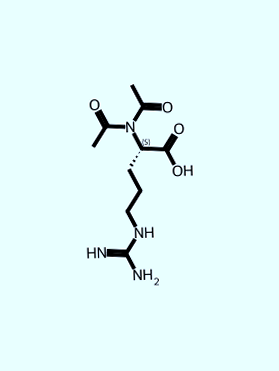 CC(=O)N(C(C)=O)[C@@H](CCCNC(=N)N)C(=O)O